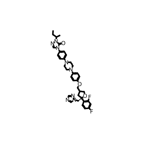 CCC(C)n1ncn(-c2ccc(N3CCN(c4ccc(OCC5CO[C@](Cn6cncn6)(c6ccc(F)cc6F)C5)cc4)CC3)cc2)c1=O